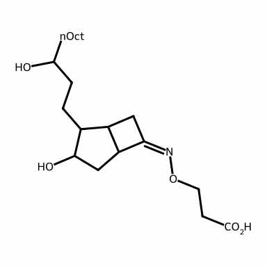 CCCCCCCCC(O)CCC1C(O)CC2C(=NOCCC(=O)O)CC21